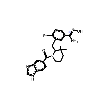 CCc1ccc(/C(N)=N/O)cc1CC1N(C(=O)c2ccc3[nH]cnc3c2)CCCC1(C)C